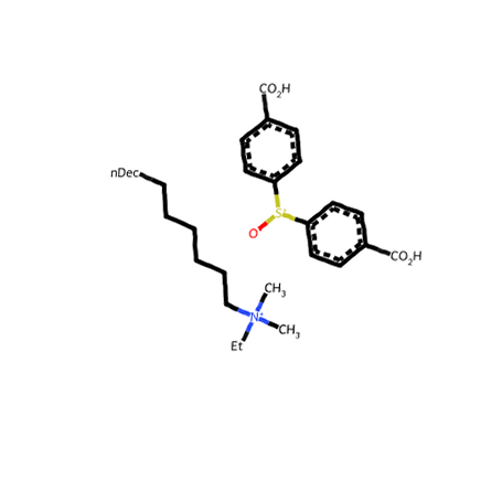 CCCCCCCCCCCCCCCC[N+](C)(C)CC.O=C(O)c1ccc([S+]([O-])c2ccc(C(=O)O)cc2)cc1